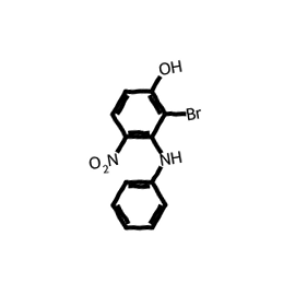 O=[N+]([O-])c1ccc(O)c(Br)c1Nc1ccccc1